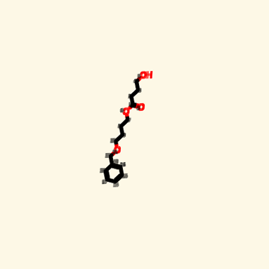 O=C(CCCO)OCCCCOCc1ccccc1